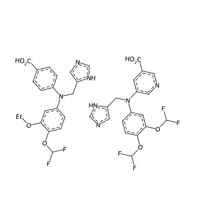 CCOc1cc(N(Cc2cnc[nH]2)c2ccc(C(=O)O)cc2)ccc1OC(F)F.O=C(O)c1cncc(N(Cc2cnc[nH]2)c2ccc(OC(F)F)c(OC(F)F)c2)c1